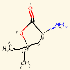 C[Si]1(C)C[C@@H](N)C(=O)O1